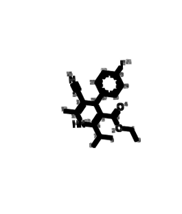 CCOC(=O)C1=C(C(C)C)NC(C)=C(C#N)C1c1ccc(F)cc1